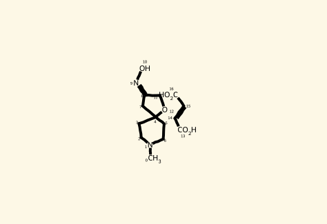 CN1CCC2(CC1)CC(=NO)CO2.O=C(O)C=CC(=O)O